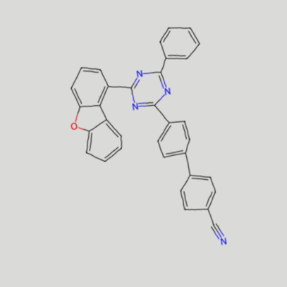 N#Cc1ccc(-c2ccc(-c3nc(-c4ccccc4)nc(-c4cccc5oc6ccccc6c45)n3)cc2)cc1